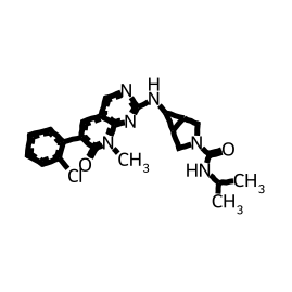 CC(C)NC(=O)N1CC2C(C1)C2Nc1ncc2cc(-c3ccccc3Cl)c(=O)n(C)c2n1